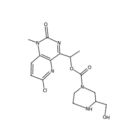 CC(OC(=O)N1CCNC(CO)C1)c1nc(=O)n(C)c2ccc(Cl)nc12